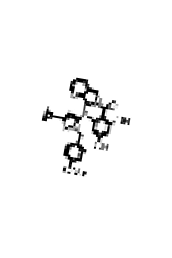 COc1ccc(Cn2nc(C3CC3)cc2Nc2cc(O)cc(O)c2C(=O)N2Cc3cccnc3C2)cc1